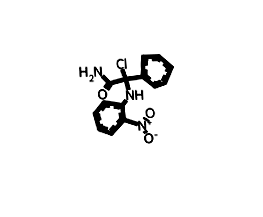 NC(=O)C(Cl)(Nc1ccccc1[N+](=O)[O-])c1ccccc1